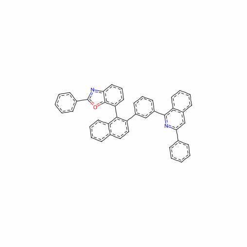 c1ccc(-c2cc3ccccc3c(-c3cccc(-c4ccc5ccccc5c4-c4cccc5nc(-c6ccccc6)oc45)c3)n2)cc1